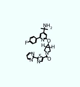 CC(C)(N)c1cc(O[C@H]2[C@@H]3CN(C(=O)c4cnc(-c5ncccn5)s4)C[C@@H]32)nc(-c2ccc(F)cc2)c1